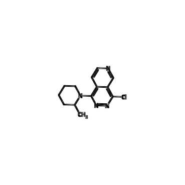 CC1CCCCN1c1nnc(Cl)c2cnccc12